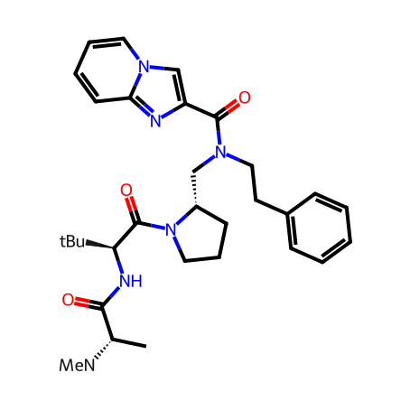 CN[C@@H](C)C(=O)N[C@H](C(=O)N1CCC[C@H]1CN(CCc1ccccc1)C(=O)c1cn2ccccc2n1)C(C)(C)C